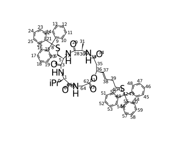 CC(C)[C@H]1NC(=O)[C@@H](CSC(c2ccccc2)(c2ccccc2)c2ccccc2)NC(=O)[C@@H](C)NC(=O)C[C@@H](C=CCCSC(c2ccccc2)(c2ccccc2)c2ccccc2)OC(=O)CNC1=O